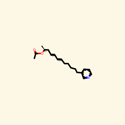 CC(=O)O[C@@H](C)C/C=C/C=C/CCCCCc1cccnc1